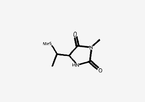 CSC(C)C1NC(=O)N(C)C1=O